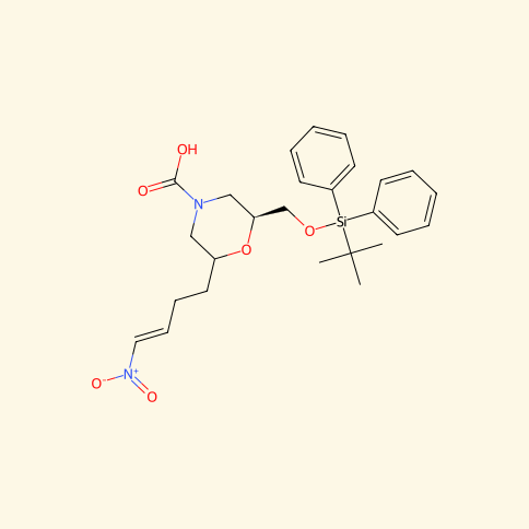 CC(C)(C)[Si](OC[C@@H]1CN(C(=O)O)CC(CC/C=C/[N+](=O)[O-])O1)(c1ccccc1)c1ccccc1